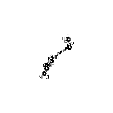 N#Cc1ccc(N2CCc3c(ncnc3Nc3ccc(C(=O)NCCOCCOCCCc4cccc5c4CN(C4CCC(=O)NC4=O)C5=O)c(F)n3)C2)cc1Cl